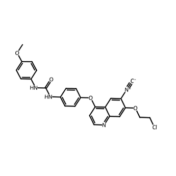 [C-]#[N+]c1cc2c(Oc3ccc(NC(=O)Nc4ccc(OC)cc4)cc3)ccnc2cc1OCCCl